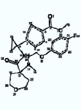 COC(=O)c1ccc(C2(NC(=O)C3(N(C)CCOc4ccc(F)cc4)CCOCC3)CC2)cc1